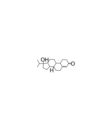 CC(C)C1(O)CCC2[C@H]3CCC4=CC(=O)CC[C@]4(C)C3CC[C@@]21C